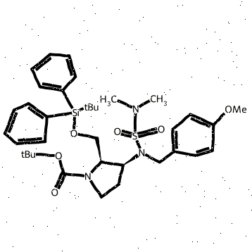 COc1ccc(CN([C@H]2CCN(C(=O)OC(C)(C)C)[C@H]2CO[Si](c2ccccc2)(c2ccccc2)C(C)(C)C)S(=O)(=O)N(C)C)cc1